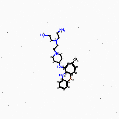 NCCN(CCN)CCN1CCC(NC2=CC(C(F)(F)F)=C=CC3=C2Nc2ccccc2S3)CC1